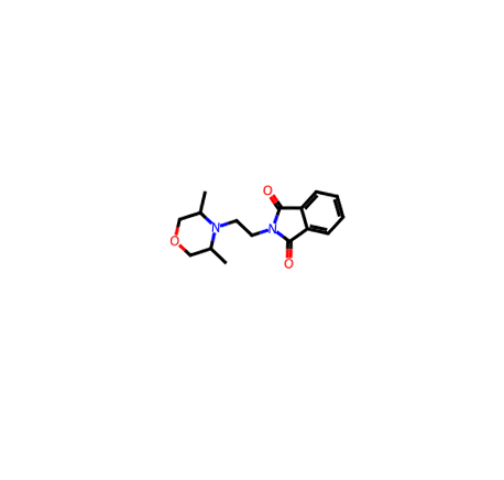 CC1COCC(C)N1CCN1C(=O)c2ccccc2C1=O